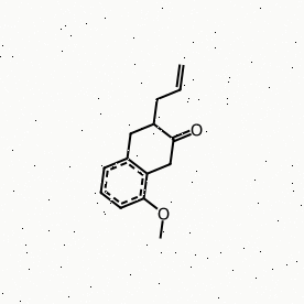 C=CCC1Cc2cccc(OC)c2CC1=O